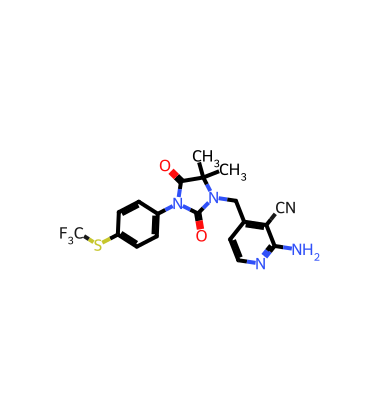 CC1(C)C(=O)N(c2ccc(SC(F)(F)F)cc2)C(=O)N1Cc1ccnc(N)c1C#N